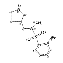 CC(C)c1ccccc1S(=O)(=O)N(C)CC1CCNC1